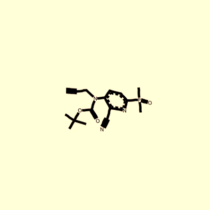 C#CCN(C(=O)OC(C)(C)C)c1ccc(P(C)(C)=O)nc1C#N